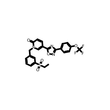 CCS(=O)(=O)c1cccc(Cn2cc(-c3nc(-c4ccc(OC(F)(F)F)cc4)no3)ccc2=O)c1